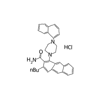 CCCCc1cc2cc3ccccc3cc2c(N2CCN(c3cccc4ccccc34)CC2)c1C(N)=O.Cl